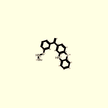 C=C(c1cccc(SNC(C)(C)C)c1)c1ccc2c(c1)Nc1ccccc1S2